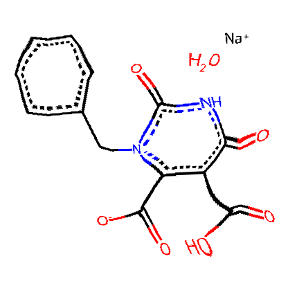 O.O=C(O)c1c(C(=O)[O-])n(Cc2ccccc2)c(=O)[nH]c1=O.[Na+]